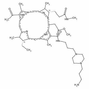 CC[C@H]1c2cc3[nH]c(c(CC(=O)OC)c4nc(cc5[nH]c(cc(n2)C1C)c(C(C)=O)c5C)C(C)[C@@H]4CCC(=O)NC)c(C(=O)NCCCN1CCN(CCCN)CC1)c3C